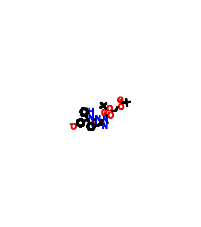 COc1ccc(C(Nc2ncc3ncn(C(OCCCOC(=O)C(C)(C)C)OC(=O)C(C)(C)C)c3n2)(c2ccccc2)c2ccccc2)cc1